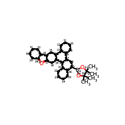 CC1(C)OB(c2cc3c4ccccc4c4cc5c(cc4c3c3ccccc23)oc2ccccc25)OC1(C)C